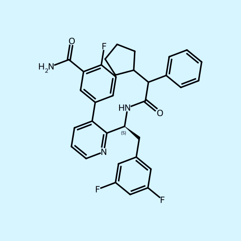 NC(=O)c1cc(-c2cccnc2[C@H](Cc2cc(F)cc(F)c2)NC(=O)C(c2ccccc2)C2CCCC2)ccc1F